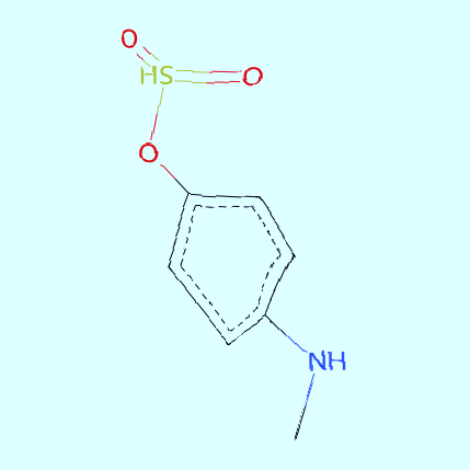 CNc1ccc(O[SH](=O)=O)cc1